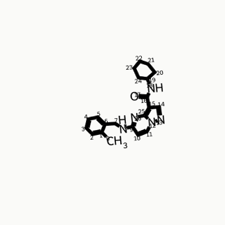 Cc1ccccc1CNc1ccn2ncc(C(=O)NC3CCCCC3)c2n1